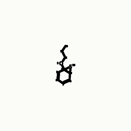 CCCOC12C=CC=CC1S2